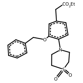 CCOC(=O)Cc1ccc(N2CCS(=O)(=O)CC2)c(OCc2ccccc2)c1